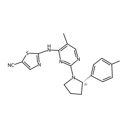 Cc1ccc([C@@H]2CCCN2c2n[c]c(C)c(Nc3ncc(C#N)s3)n2)cc1